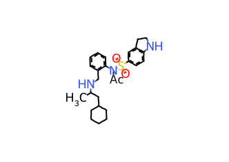 CC(=O)N(c1ccccc1CNC(C)CC1CCCCC1)S(=O)(=O)c1ccc2c(c1)CCN2